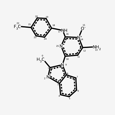 Cc1nc2ccccc2n1-c1cc(N)[n+]([O-])c(Nc2ccc(C(F)(F)F)cc2)n1